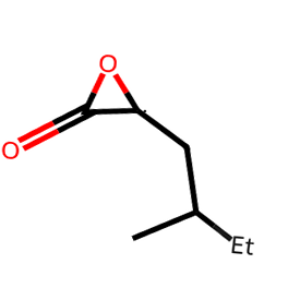 [CH2]CC(C)C[C]1OC1=O